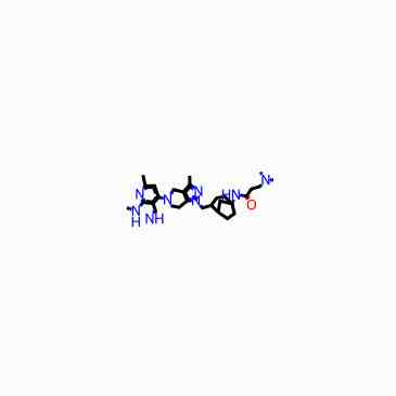 CNc1nc(C)cc(N2CCc3c(c(C)nn3CC3CCC4(NC(=O)CCN(C)C)CCC3C4)C2)c1C=N